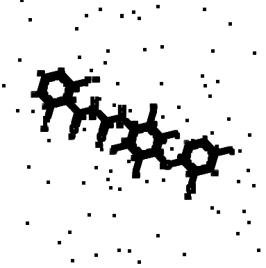 Cc1ccc(Oc2c(C)c(C)c(NC(=O)NC(=O)c3c(F)cccc3F)c(C)c2C)c(Cl)c1